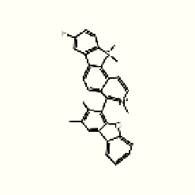 Cc1cc2c(oc3ccccc32)c(-c2c3ccc4c(c3cc[n+]2C)[Si](C)(C)c2ccc(F)cc2-4)c1C